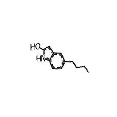 CCCCc1ccc2[nH]c(O)cc2c1